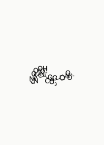 CC(OC(=O)OCc1ccc([N+](=O)[O-])cc1)C1C[N+]2([O-])C(C(=O)O)=C([S+]([O-])c3ncccn3)CC12